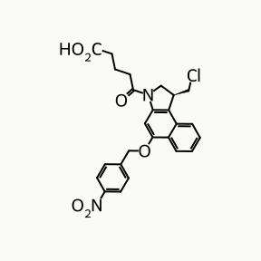 O=C(O)CCCC(=O)N1C[C@@H](CCl)c2c1cc(OCc1ccc([N+](=O)[O-])cc1)c1ccccc21